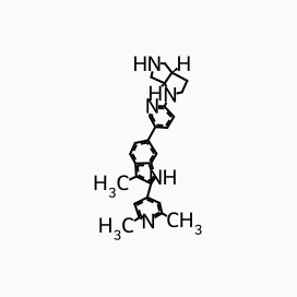 Cc1cc(-c2[nH]c3cc(-c4ccc(N5CC[C@H]6CNC[C@H]65)nc4)ccc3c2C)cc(C)n1